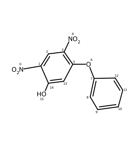 O=[N+]([O-])c1cc([N+](=O)[O-])c(Oc2ccccc2)cc1O